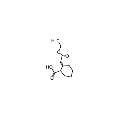 CCOC(=O)C=C1CCCCC1C(=O)O